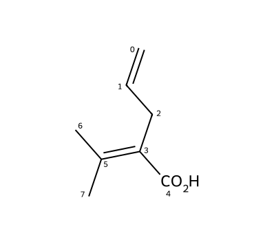 C=CCC(C(=O)O)=C(C)C